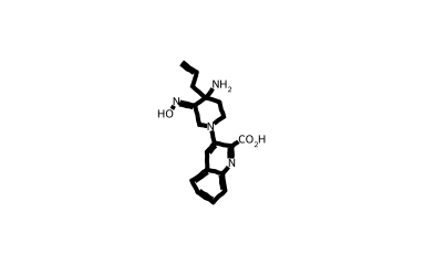 C=CCC1(N)CCN(c2cc3ccccc3nc2C(=O)O)CC1=NO